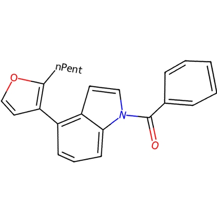 CCCCCc1occc1-c1cccc2c1ccn2C(=O)c1ccccc1